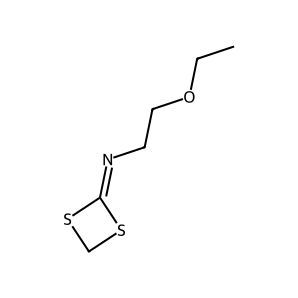 CCOCCN=C1SCS1